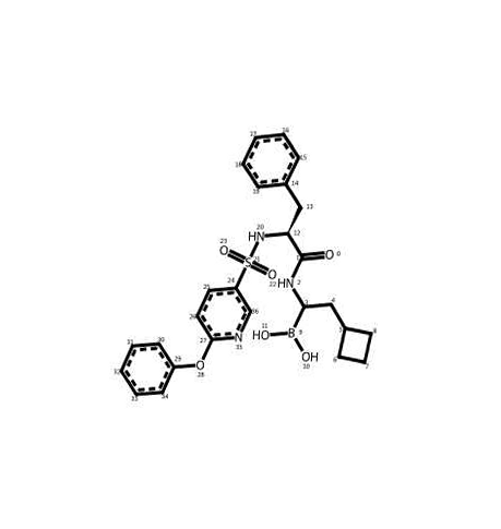 O=C(NC(CC1CCC1)B(O)O)[C@H](Cc1ccccc1)NS(=O)(=O)c1ccc(Oc2ccccc2)nc1